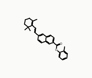 CC1=C(C=Cc2ccc3cc(C(=O)Oc4ccccc4C)ccc3c2)C(C)(C)CCC1